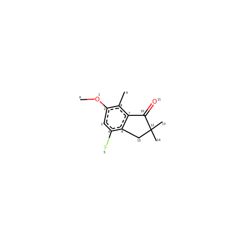 COc1cc(F)c2c(c1C)C(=O)C(C)(C)C2